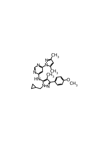 COc1ccc(-c2nn(CC3CC3)c(Nc3cc(-n4nc(C)cc4C)ncn3)c2C)cc1